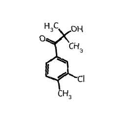 Cc1ccc(C(=O)C(C)(C)O)cc1Cl